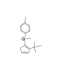 Cc1ccc([Si](C)(C)C2=C(C(C)(C)C)C=CC2)cc1